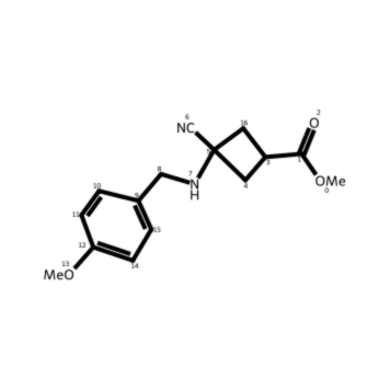 COC(=O)C1CC(C#N)(NCc2ccc(OC)cc2)C1